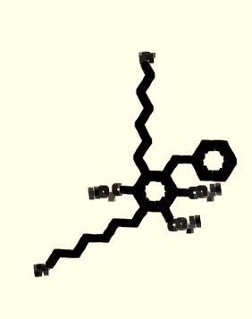 CC(C)CCCCCCc1c(Cc2ccccc2)c(C(=O)O)c(C(=O)O)c(CCCCCCC(C)C)c1C(=O)O